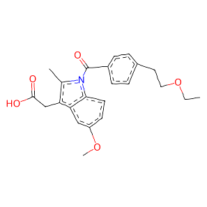 CCOCCc1ccc(C(=O)n2c(C)c(CC(=O)O)c3cc(OC)ccc32)cc1